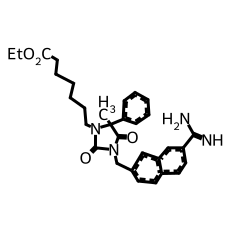 CCOC(=O)CCCCCCN1C(=O)N(Cc2ccc3ccc(C(=N)N)cc3c2)C(=O)C1(C)c1ccccc1